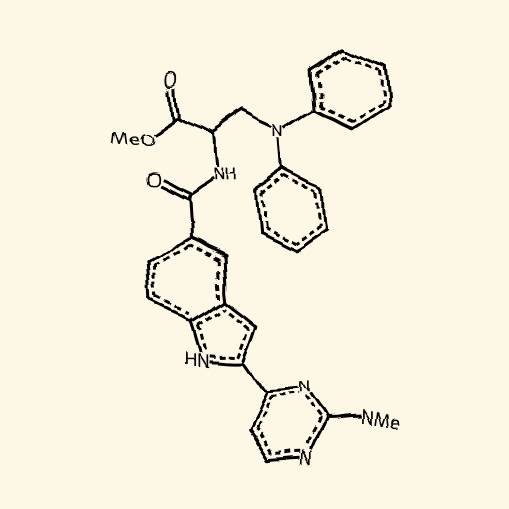 CNc1nccc(-c2cc3cc(C(=O)NC(CN(c4ccccc4)c4ccccc4)C(=O)OC)ccc3[nH]2)n1